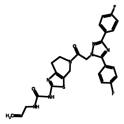 C=CCNC(=O)Nc1nc2c(s1)CN(C(=O)Cn1nc(-c3ccc(F)cc3)nc1-c1ccc(F)cc1)CC2